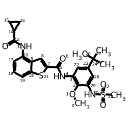 COc1c(NC(=O)c2cc3c(NC(=O)C4CC4)cccc3s2)cc(C(C)(C)C)cc1NS(C)(=O)=O